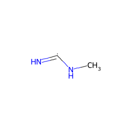 CN[C]=N